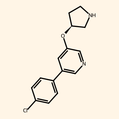 Clc1ccc(-c2cncc(O[C@H]3CCNC3)c2)cc1